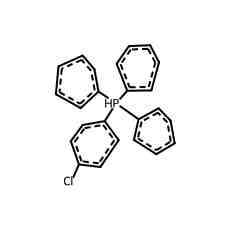 Clc1ccc([PH](c2ccccc2)(c2ccccc2)c2ccccc2)cc1